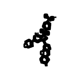 Cc1cccc(Cn2ccc(-c3cn(S(=O)(=O)c4ccc([N+](=O)[O-])cc4)c4ncc(N5CCOCC5)cc34)cc2=O)c1